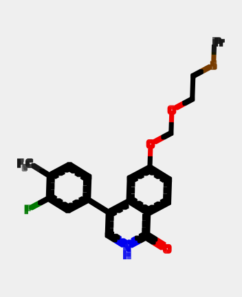 CC(C)SCCOCOc1ccc2c(=O)[nH]cc(-c3ccc(C(F)(F)F)c(F)c3)c2c1